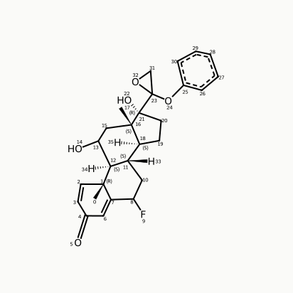 C[C@]12C=CC(=O)C=C1C(F)C[C@@H]1[C@@H]2C(O)C[C@@]2(C)[C@H]1CC[C@]2(O)C1(Oc2ccccc2)CO1